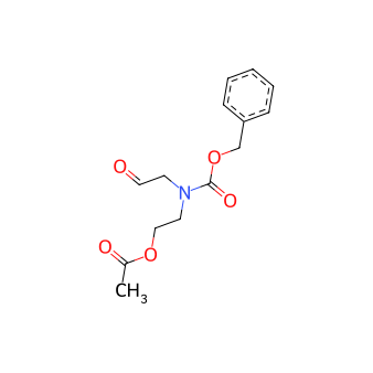 CC(=O)OCCN(CC=O)C(=O)OCc1ccccc1